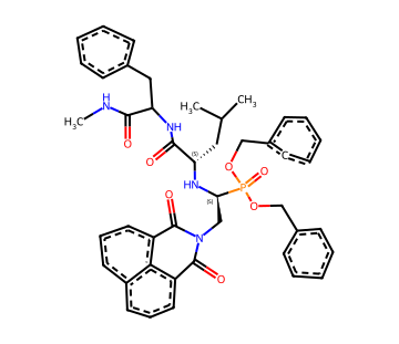 CNC(=O)C(Cc1ccccc1)NC(=O)[C@H](CC(C)C)N[C@H](CN1C(=O)c2cccc3cccc(c23)C1=O)P(=O)(OCc1ccccc1)OCc1ccccc1